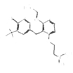 CCOc1cccc(OCCN(C)C)c1Cc1ccc(Cl)c(C(F)(F)F)c1